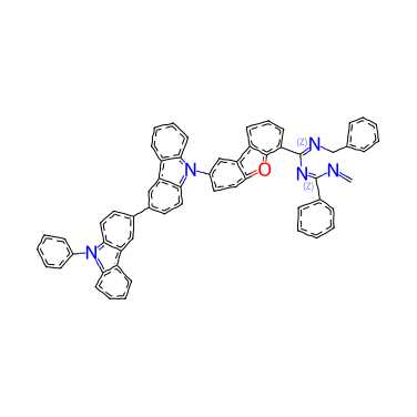 C=N/C(=N\C(=N/Cc1ccccc1)c1cccc2c1oc1ccc(-n3c4ccccc4c4cc(-c5ccc6c(c5)c5ccccc5n6-c5ccccc5)ccc43)cc12)c1ccccc1